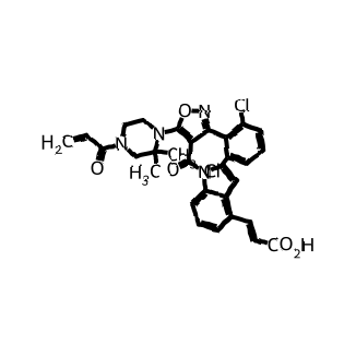 C=CC(=O)N1CCN(c2onc(-c3c(Cl)cccc3Cl)c2C(=O)n2ccc3c(/C=C/C(=O)O)cccc32)C(C)(C)C1